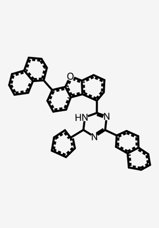 c1ccc(C2N=C(c3ccc4ccccc4c3)N=C(c3cccc4oc5c(-c6cccc7ccccc67)cccc5c34)N2)cc1